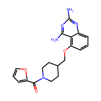 Nc1nc(N)c2c(OCC3CCN(C(=O)c4ccco4)CC3)cccc2n1